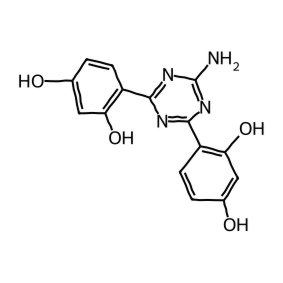 Nc1nc(-c2ccc(O)cc2O)nc(-c2ccc(O)cc2O)n1